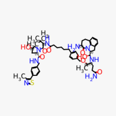 Cc1ncsc1-c1ccc(CNC(=O)[C@@H]2C[C@@H](O)CN2C(=O)[C@@H](NC(=O)CCCCCc2ccc(CO[C@H](C)[C@H](CCC(N)=O)NC(O)[C@@H]3Cc4cccc5c4N3C(=O)[C@@H](N)CC5)cc2)C(C)(C)C)cc1